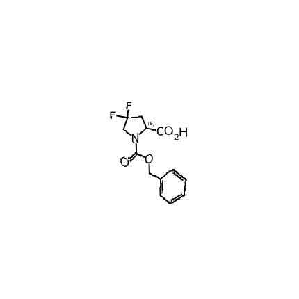 O=C(O)[C@@H]1CC(F)(F)CN1C(=O)OCc1ccccc1